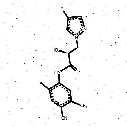 N#Cc1cc(I)c(NC(=O)[C@@H](O)Cn2cc(F)cn2)cc1C(F)(F)F